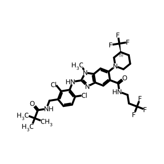 Cn1c(Nc2c(Cl)ccc(CNC(=O)C(C)(C)C)c2Cl)nc2cc(C(=O)NCCC(F)(F)F)c(N3CCC[C@H](C(F)(F)F)C3)cc21